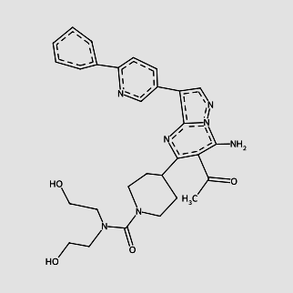 CC(=O)c1c(C2CCN(C(=O)N(CCO)CCO)CC2)nc2c(-c3ccc(-c4ccccc4)nc3)cnn2c1N